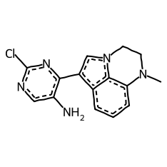 CN1CCn2cc(-c3nc(Cl)ncc3N)c3cccc1c32